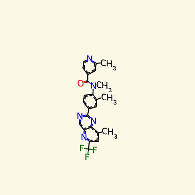 Cc1cc(C(=O)N(C)c2ccc(-c3ncc4nc(C(F)(F)F)cc(C)c4n3)cc2C)ccn1